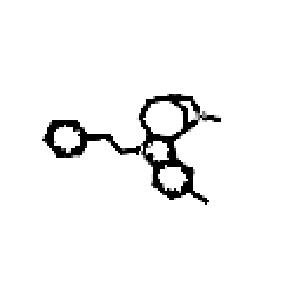 Cc1ccc2c(c1)c1c(n2CCc2ccccc2)CCC2CC1N(C)C2